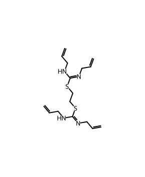 C=CCN=C(NCC=C)SCCSC(=NCC=C)NCC=C